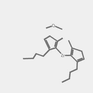 CCCCC1=CCC(C)=[C]1[Zr][C]1=C(C)CC=C1CCCC.COC